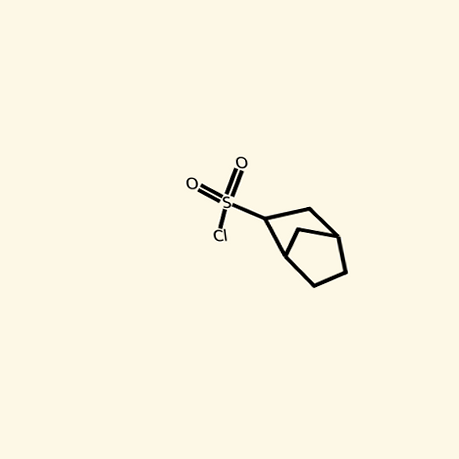 O=S(=O)(Cl)C1CC2CCC1C2